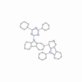 c1ccc(-c2nc(-c3ccccc3)nc(-n3c4ccccc4c4ccc(-c5cncc6c7ccccc7n(-c7ccccc7)c56)cc43)n2)cc1